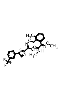 CNC(=O)/C(=N/OC)c1cccc(C)c1CO/N=C(\C)c1ncc(-c2cccc(C(F)(F)F)c2)s1